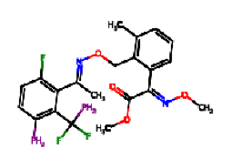 CO/N=C(/C(=O)OC)c1cccc(C)c1CO/N=C(\C)c1c(F)ccc(P)c1C(F)(F)P